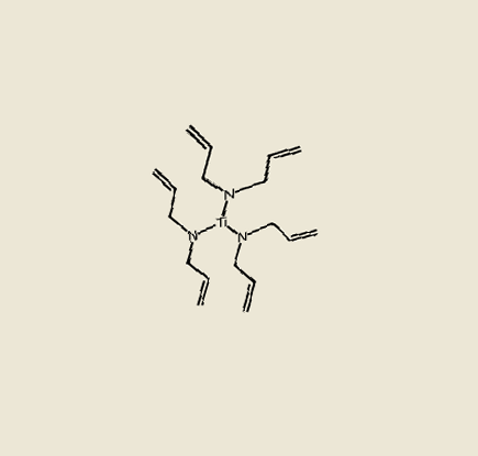 C=CC[N](CC=C)[Ti]([N](CC=C)CC=C)[N](CC=C)CC=C